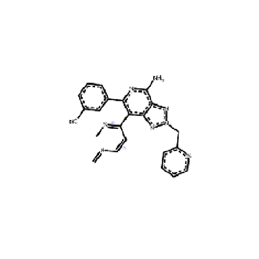 C=N/C=C\C(=N/C)c1c(-c2cccc(C#N)c2)nc(N)c2nn(Cc3ccccn3)nc12